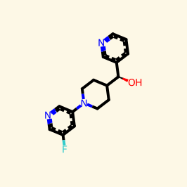 O[C@H](c1cccnc1)C1CCN(c2cncc(F)c2)CC1